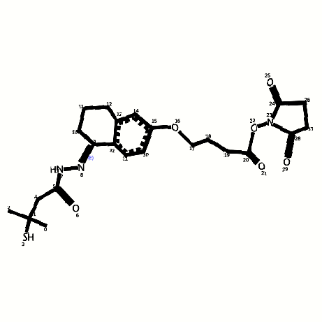 CC(C)(S)CC(=O)N/N=C1\CCCc2cc(OCCCC(=O)ON3C(=O)CCC3=O)ccc21